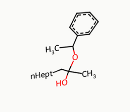 CCCCCCCCC(C)(O)OC(C)c1ccccc1